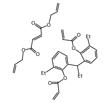 C=CC(=O)Oc1c(CC)cccc1C(CC)c1cccc(CC)c1OC(=O)C=C.C=CCOC(=O)/C=C/C(=O)OCC=C